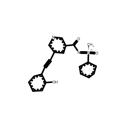 C[S@@](=O)(=NC(=O)c1cncc(C#Cc2ccccc2O)c1)c1ccccc1